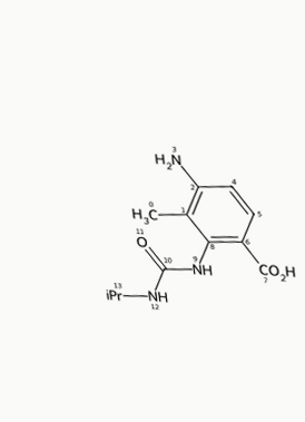 Cc1c(N)ccc(C(=O)O)c1NC(=O)NC(C)C